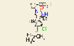 CCC(C)C1=CN(C2CCCC2C(=O)O)C(=O)N[C@@]1(CC)c1ccc(CCC(C)(C)CC)c(Cl)c1